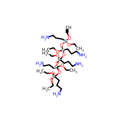 C#CO[Si](CCCN)(OCC)O[Si](CCCN)(OCC)O[Si](CCCN)(OCC)O[Si](CCCN)(OCC)O[Si](CCCN)(OCC)OCC